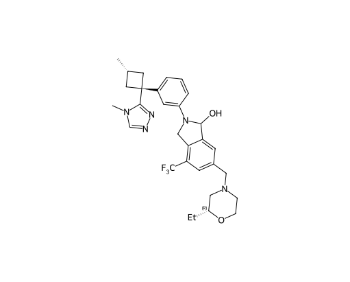 CC[C@@H]1CN(Cc2cc3c(c(C(F)(F)F)c2)CN(c2cccc([C@]4(c5nncn5C)C[C@@H](C)C4)c2)C3O)CCO1